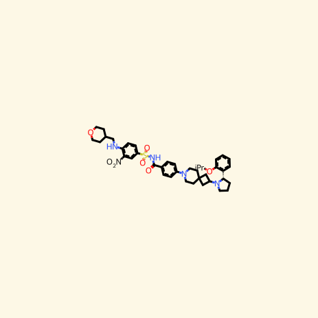 CC(C)Oc1ccccc1[C@@H]1CCCN1C1CC2(CCN(c3ccc(C(=O)NS(=O)(=O)c4ccc(NCC5CCOCC5)c([N+](=O)[O-])c4)cc3)CC2)C1